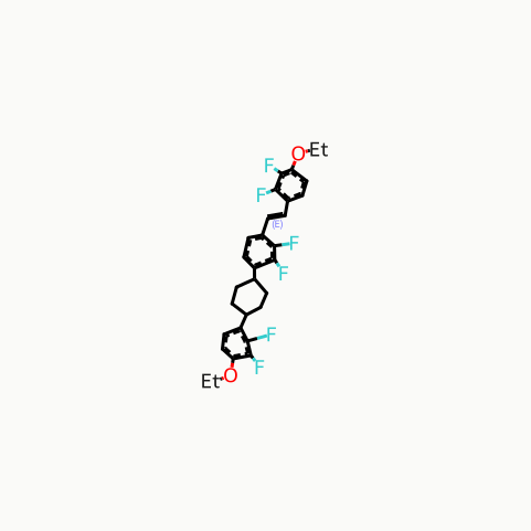 CCOc1ccc(/C=C/c2ccc(C3CCC(c4ccc(OCC)c(F)c4F)CC3)c(F)c2F)c(F)c1F